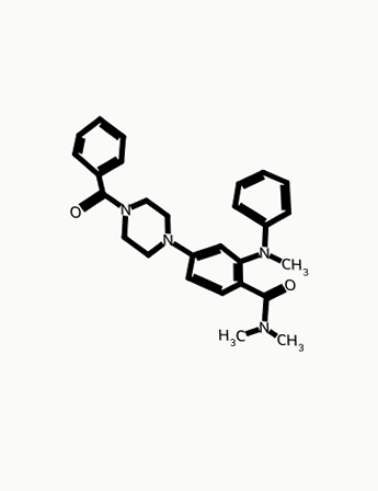 CN(C)C(=O)c1ccc(N2CCN(C(=O)c3ccccc3)CC2)cc1N(C)c1ccccc1